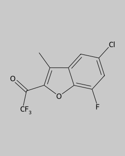 Cc1c(C(=O)C(F)(F)F)oc2c(F)cc(Cl)cc12